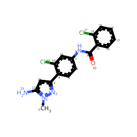 Cn1nc(-c2ccc(NC(=O)c3ccccc3Cl)cc2Cl)cc1N